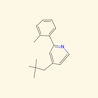 Cc1ccccc1-c1cc(CC(C)(C)C)ccn1